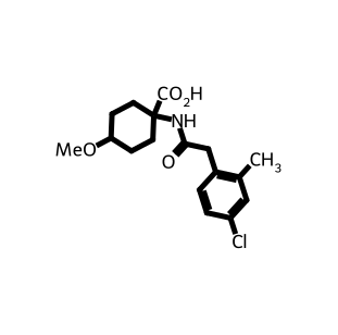 COC1CCC(NC(=O)Cc2ccc(Cl)cc2C)(C(=O)O)CC1